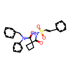 O=C(NS(=O)(=O)/C=C/c1ccccc1)C1(C(=O)N(Cc2ccccc2)c2ccccc2)CCC1